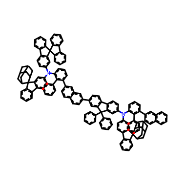 c1ccc(-c2c(-c3ccc4ccccc4c3)cccc2N(c2ccc3c(c2)C(c2ccccc2)(c2ccccc2)c2cc(-c4ccc5ccc(-c6cccc(N(c7ccc8c(c7)C7(c9ccccc9-c9ccccc97)c7ccccc7-8)c7ccc8c(c7)C7(c9ccccc9-8)C8CC9CC(C8)CC7C9)c6-c6ccccc6)cc5c4)ccc2-3)c2ccc3c(c2)C2(c4ccccc4-3)C3CC4CC(C3)CC2C4)cc1